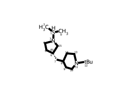 C[SH](C)N1CC[C@@H](CC2CCN(C(C)(C)C)CC2)C1